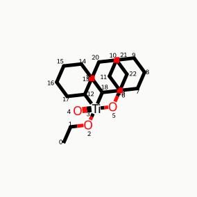 CC[O][Ti](=[O])([O]C1CCCCC1)([CH]1CCCCC1)[CH]1CCCCC1